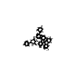 CC1=C(N(c2ccc(-c3ccccc3)cc2)c2cccc3c2-c2ccccc2C32c3ccccc3-c3ccccc32)C(C)CC(c2ccccc2)=C1